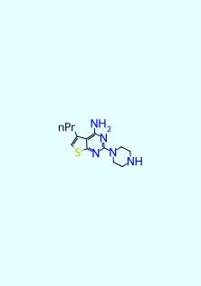 CCCc1csc2nc(N3CCNCC3)nc(N)c12